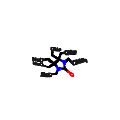 COCN1C(=O)N(COC)C(COC)(COC)C1(COC)COC